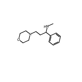 CNC(CCN1CCOCC1)c1ccccc1